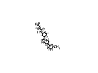 Cc1cnnc(-c2ccn3c(-c4cccc(NC(=O)NCC(F)(F)F)c4)cnc3c2)n1